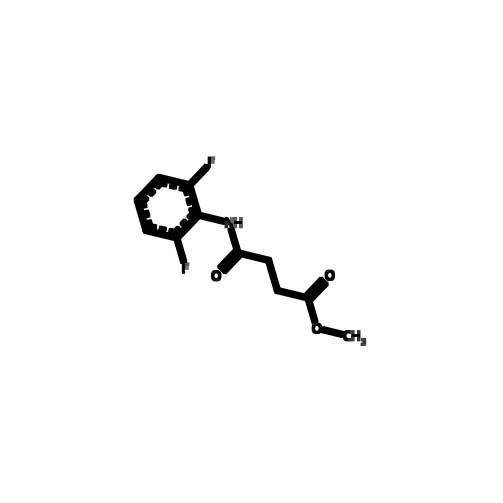 COC(=O)CCC(=O)Nc1c(F)cccc1F